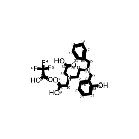 O=C(O)C(F)(F)F.O=C(O)CN(CCN(Cc1ccccc1)Cc1ccccc1O)CC(=O)O